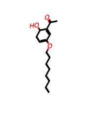 CCCCCCCCOC1=CCC(O)C(C(C)=O)=C1